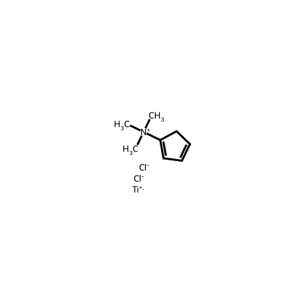 C[N+](C)(C)C1=CC=CC1.[Cl-].[Cl-].[Ti+]